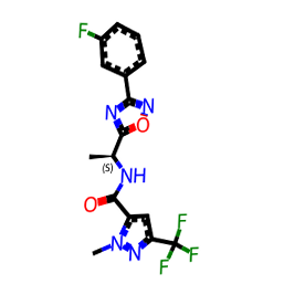 C[C@H](NC(=O)c1cc(C(F)(F)F)nn1C)c1nc(-c2cccc(F)c2)no1